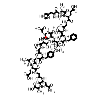 CC(C)C[C@H](NC(=O)[C@H](Cc1ccc(O)cc1)NC(=O)[C@H](CO)NC(=O)[C@@H](NC(=O)[C@H](CC(=O)O)NC(=O)[C@H](CO)NC(=O)[C@@H](NC(=O)[C@H](Cc1ccccc1)NC(=O)[C@@H](NC(=O)CNC(=O)[C@H](CCC(=O)O)NC(=O)[C@H](C)NC(=O)[C@@H](N)Cc1c[nH]cn1)[C@@H](C)O)[C@@H](C)O)C(C)C)C(=O)N[C@@H](CCC(=O)O)C(=O)NCC(=O)N[C@@H](CCC(N)=O)C(=O)N[C@@H](C)C(=O)O